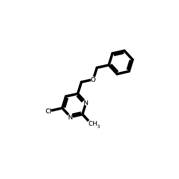 Cc1nc(Cl)cc(COCc2ccccc2)n1